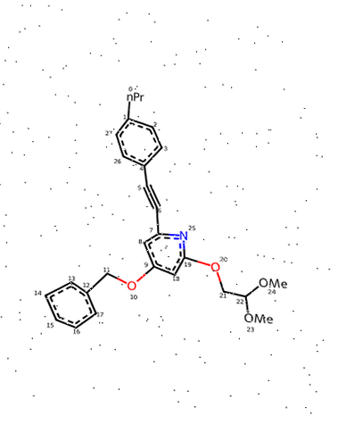 CCCc1ccc(C#Cc2cc(OCc3ccccc3)cc(OCC(OC)OC)n2)cc1